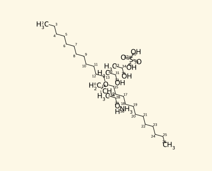 C=C.CCCCCCCCCCCCOCCCCCCCCCCCC.CCO.CCO.CCO.N.O=S(=O)(O)O